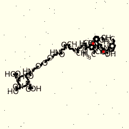 CCC1CC2CCC(NC(=O)c3cc(-c4c(OC)cccc4OC)n(-c4ccc(C(=O)N(C)CCCN(C)CCCN(C)C(=O)CCC(=O)NCCCOCCOCCOCCCNC(=O)CN5CCN(CC(=O)O)CCN(CC(=O)O)CCN(CC(=O)O)CC5)cc4C(C)C)n3)(C(=O)O)C(C1)C2